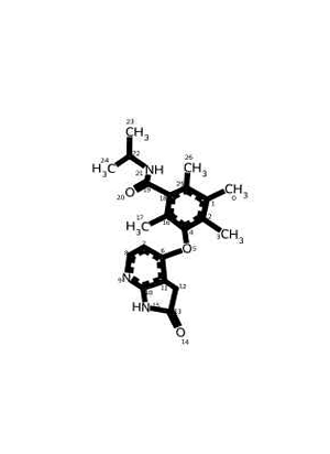 Cc1c(C)c(Oc2ccnc3c2CC(=O)N3)c(C)c(C(=O)NC(C)C)c1C